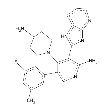 Cc1cc(F)cc(-c2cnc(N)c(-c3nc4ncccc4[nH]3)c2N2CCC(N)CC2)c1